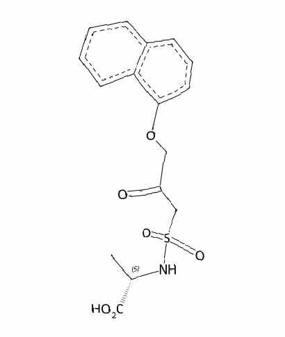 C[C@H](NS(=O)(=O)CC(=O)COc1cccc2ccccc12)C(=O)O